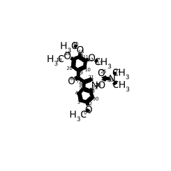 COc1ccc2c(C(=O)c3cc(OC)c(OC)c(OC)c3)cn(OC(=O)N(C)C)c2c1